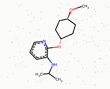 CO[C@H]1CC[C@H](Oc2ncccc2NC(C)C)CC1